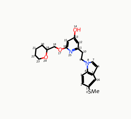 CSc1ccc2c(ccn2CCc2cc(O)cc(OCC3CCCCO3)n2)c1